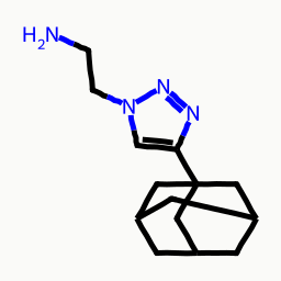 NCCn1cc(C23CC4CC(CC(C4)C2)C3)nn1